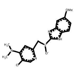 COc1ccc2[nH]c([S+]([O-])Cc3cc(N(C)C)c(Cl)cn3)nc2c1